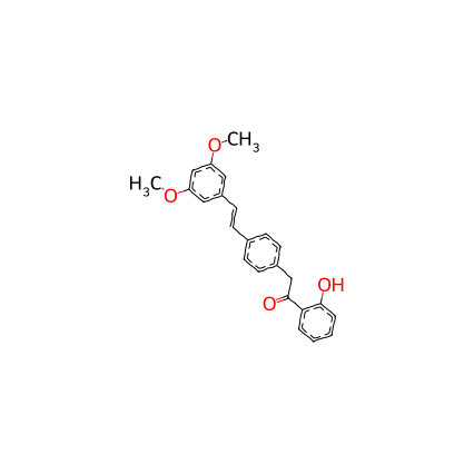 COc1cc(/C=C/c2ccc(CC(=O)c3ccccc3O)cc2)cc(OC)c1